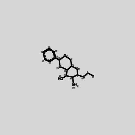 CCSC1OC2COC(c3ccccc3)OC2C(O)C1N